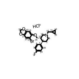 Cl.Fc1ccc([C@@H]2CCN(CC3CC3)C[C@H]2COc2cc3c(cc2Br)OCO3)cc1